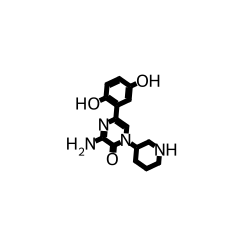 Nc1nc(-c2cc(O)ccc2O)cn(C2CCCNC2)c1=O